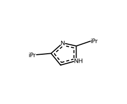 CC(C)c1c[nH]c(C(C)C)n1